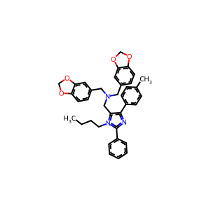 CCCCn1c(-c2ccccc2)nc(-c2ccc(C)cc2)c1CN(Cc1ccc2c(c1)OCO2)Cc1ccc2c(c1)OCO2